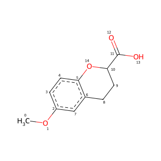 COc1ccc2c(c1)CCC(C(=O)O)O2